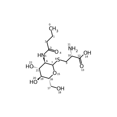 CCCC(=O)N[C@H]1C(SC[C@H](N)C(=O)O)O[C@H](CO)[C@@H](O)[C@@H]1O